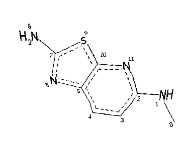 CNc1ccc2nc(N)sc2n1